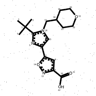 CC(C)(C)c1nc(-c2cc(C(=O)O)no2)cn1CC1CCOCC1